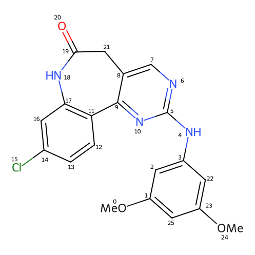 COc1cc(Nc2ncc3c(n2)-c2ccc(Cl)cc2NC(=O)C3)cc(OC)c1